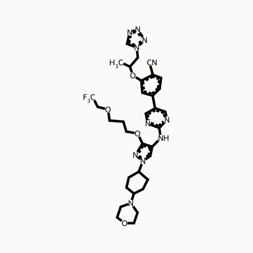 CC(Cn1cnnn1)Oc1cc(-c2cnc(Nc3cn(C4CCC(N5CCOCC5)CC4)nc3OCCCOCC(F)(F)F)nc2)ccc1C#N